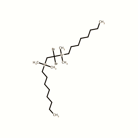 CCCCCCCC[N+](C)(C)CC(Br)(Br)[N+](C)(C)CCCCCCCC